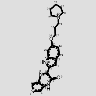 O=c1[nH]c2cscc2nc1-c1cc2ccc(OCCCN3CCCCC3)cc2[nH]1